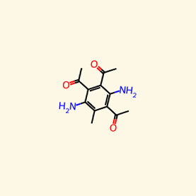 CC(=O)c1c(C)c(N)c(C(C)=O)c(C(C)=O)c1N